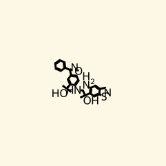 CC(C)(O)c1cc2c(-c3ccccc3)noc2cc1NCC(C)(O)c1cc2sncc2cc1N